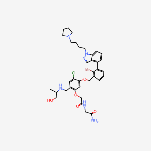 CC(CO)NCc1cc(Cl)c(OCc2cccc(-c3cccc4c3cnn4CCCCN3CCCC3)c2Br)cc1OCC(=O)NCC(N)=O